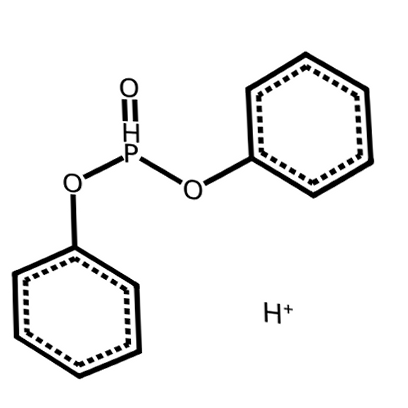 O=[PH](Oc1ccccc1)Oc1ccccc1.[H+]